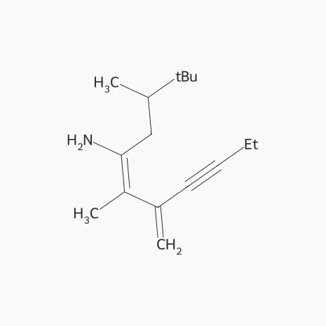 C=C(C#CCC)/C(C)=C(/N)CC(C)C(C)(C)C